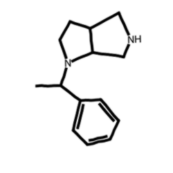 CC(c1ccccc1)N1CCC2CNCC21